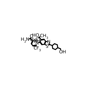 CC(C)(O)c1cc2nc(C3CCC(CO)CC3)sc2cc1N1NC(C(N)=O)=CC=C1C(F)(F)F